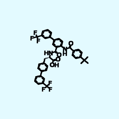 CC(C)(C)c1ccc(C(=O)Nc2ccc(-c3cccc(C(F)(F)F)c3)cc2C(=O)N[C@@H](Cc2ccc(-c3cccc(C(F)(F)F)c3)cc2)C(=O)O)cc1